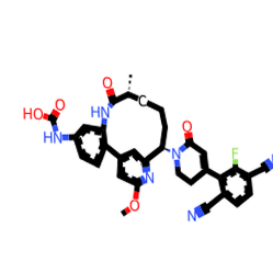 COc1cc2cc(n1)[C@@H](N1CCC(c3c(C#N)ccc(C#N)c3F)=CC1=O)CCC[C@@H](C)C(=O)Nc1cc(NC(=O)O)ccc1-2